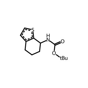 CC(C)(C)OC(=O)NC1CCCc2ccsc21